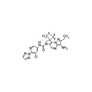 CCc1nn2c3c(cnc2c1N)N(C(=O)Nc1cnc(-n2nccn2)c(Cl)c1)CC3(C)C(F)(F)F